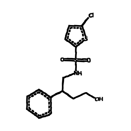 O=S(=O)(NCC(CCO)c1ccccc1)c1ccc(Cl)s1